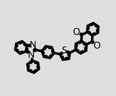 O=C1c2ccccc2C(=O)c2cc(-c3ccc(-c4ccc(-c5nc6ccccc6n5-c5ccccc5)cc4)s3)ccc21